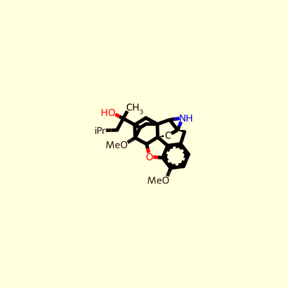 COc1ccc2c3c1OC1C4(OC)CCC5(CC4C(C)(O)CC(C)C)C4N[C@]4(C2)C[C@]315